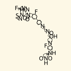 O=C1CC[C@@H](Nc2ccc(N3CCC(O)(CC(=O)N4CC5(C4)CN(c4ccc(-c6cc(F)c7c(c6)C(=O)N(C(C(=O)Nc6nccs6)c6ncn8c6C[C@@H](F)C8)C7)cc4)C5)CC3)c(F)c2)C(=O)N1